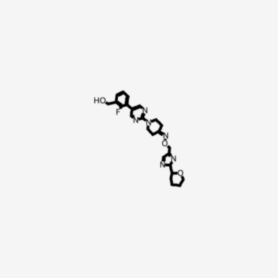 OCc1cccc(-c2cnc(N3CCC(=NOCC4=NC(C5CCCCO5)N=C4)CC3)nc2)c1F